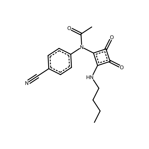 CCCCNc1c(N(C(C)=O)c2ccc(C#N)cc2)c(=O)c1=O